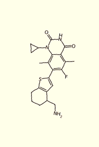 Cc1c(F)c(-c2cc3c(s2)CCCC3CN)c(C)c2c1c(=O)[nH]c(=O)n2C1CC1